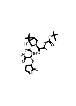 C[C@H](NC(=O)OC(C)(C)C)C(=O)N1C[C@H]2[C@@H]([C@H]1C(=O)N[C@@H](C[C@@H]1CCNC1=O)C(N)=O)C2(C)C